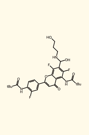 CC(C)(C)C(=O)Nc1ccc(-c2cc(=O)c3c(NC(=O)C(C)(C)C)c(F)c(C(O)NCCCO)c(F)c3o2)cc1F